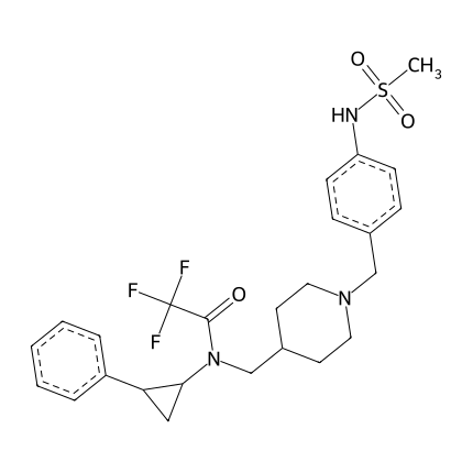 CS(=O)(=O)Nc1ccc(CN2CCC(CN(C(=O)C(F)(F)F)C3CC3c3ccccc3)CC2)cc1